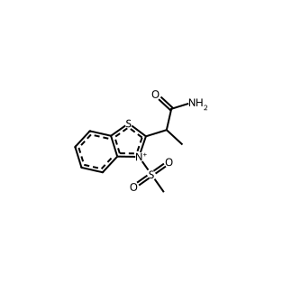 CC(C(N)=O)c1sc2ccccc2[n+]1S(C)(=O)=O